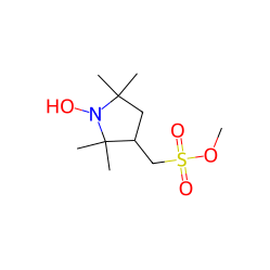 COS(=O)(=O)CC1CC(C)(C)N(O)C1(C)C